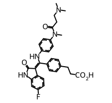 CN(C)CCC(=O)N(C)c1ccc(N/C(=C2\C(=O)Nc3cc(F)ccc32)c2ccc(CCC(=O)O)cc2)cc1